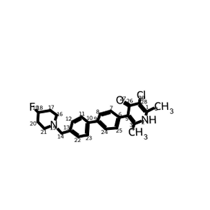 Cc1[nH]c(C)c(-c2ccc(-c3ccc(CN4CCC(F)CC4)cc3)cc2)c(=O)c1Cl